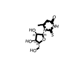 Cc1cc(=O)[nH]c(=S)n1[C@@H]1O[C@H](CO)[C@@H](O)[C@H]1O